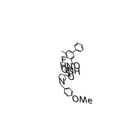 COc1ccc(CN2CCC(S(=O)(=O)NNC(=O)c3cc(-c4ccccc4)cc(C)c3F)C2)cc1